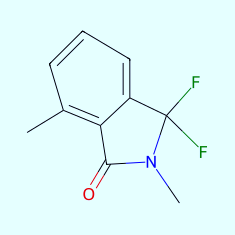 Cc1cccc2c1C(=O)N(C)C2(F)F